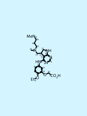 CCOc1ccc(Nc2ncnc3c2C(CN(C)CCCNC)CN3)cc1OCC(=O)O